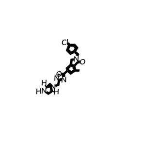 Cc1cc(-c2nc(CN3C[C@@H]4C[C@H]3CN4)no2)cc2c1C(=O)N(Cc1ccc(Cl)cc1)C2